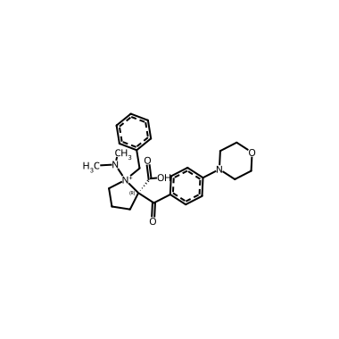 CN(C)[N+]1(Cc2ccccc2)CCC[C@]1(C(=O)O)C(=O)c1ccc(N2CCOCC2)cc1